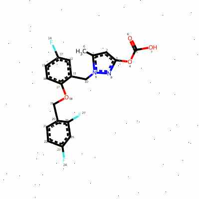 Cc1cc(OC(=O)O)nn1Cc1cc(F)ccc1OCc1ccc(F)cc1F